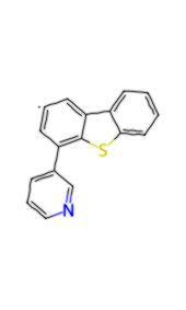 [c]1cc(-c2cccnc2)c2sc3ccccc3c2c1